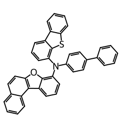 c1ccc(-c2ccc(N(c3cccc4c3oc3ccc5ccccc5c34)c3cccc4c3sc3ccccc34)cc2)cc1